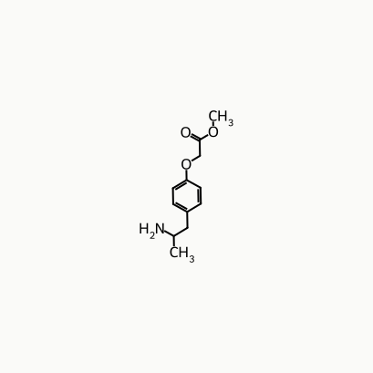 COC(=O)COc1ccc(CC(C)N)cc1